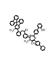 CCC(Cc1ccccc1-c1cc2c(cc1C)C1(c3ccccc3-c3ccccc31)c1ccccc1-2)c1cccc(C2NC(c3ccc(-c4ccccc4O)cc3)=NC(c3ccc(C4=CC=CCC4)cc3)=C(C)C2C)c1